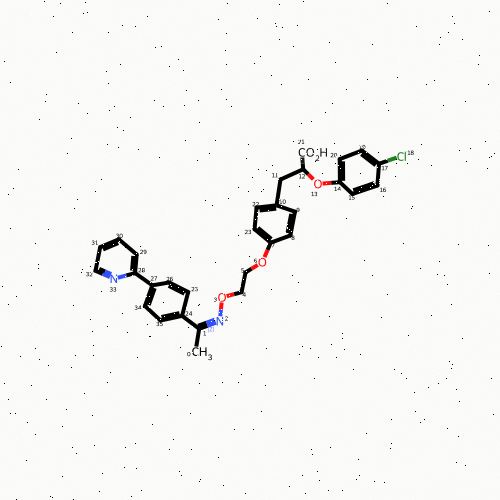 C/C(=N/OCCOc1ccc(CC(Oc2ccc(Cl)cc2)C(=O)O)cc1)c1ccc(-c2ccccn2)cc1